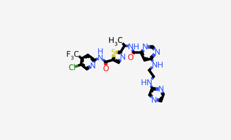 CC(NC(=O)c1cc(NCCNc2cnccn2)ncn1)c1ncc(C(=O)Nc2cc(C(F)(F)F)c(Cl)cn2)s1